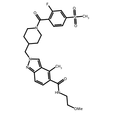 COCCNC(=O)c1ccc2nn(CC3CCN(C(=O)c4ccc(S(C)(=O)=O)cc4F)CC3)cc2c1C